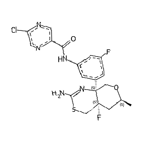 C[C@H]1C[C@@]2(F)CSC(N)=N[C@@]2(c2cc(F)cc(NC(=O)c3cnc(Cl)cn3)c2)CO1